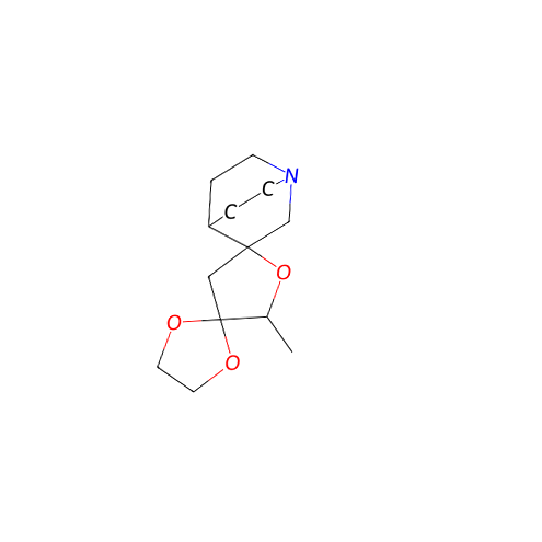 CC1OC2(CN3CCC2CC3)CC12OCCO2